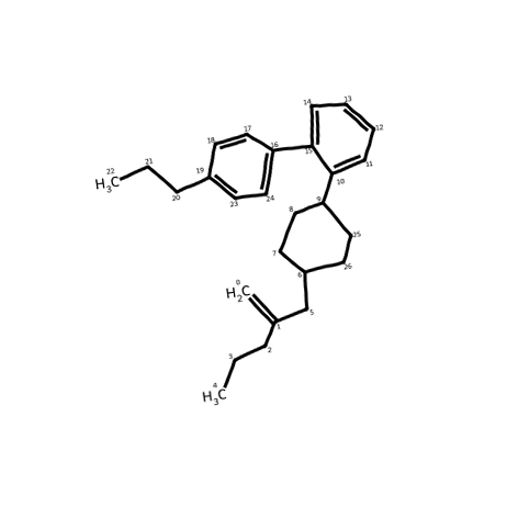 C=C(CCC)CC1CCC(c2ccccc2-c2ccc(CCC)cc2)CC1